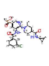 CC1CC(C(=O)NC2CC2)CCN1c1ncc(S(C)(=O)=O)cc1NC(=O)c1cccc(Cl)c1